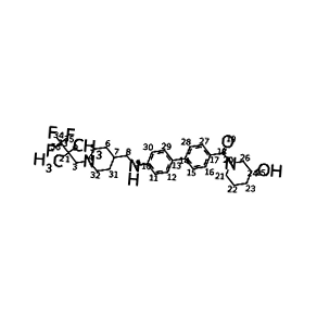 CC(C)(CN1CCC(CNc2ccc(-c3ccc(C(=O)N4CCC[C@@H](O)C4)cc3)cc2)CC1)C(F)(F)F